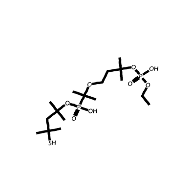 CCOP(=O)(O)OC(C)(C)CCOC(C)(C)P(=O)(O)OC(C)(C)CC(C)(C)S